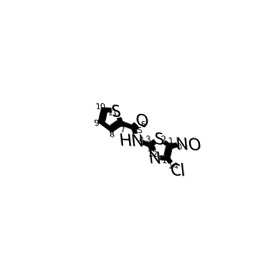 O=Nc1sc(NC(=O)c2cccs2)nc1Cl